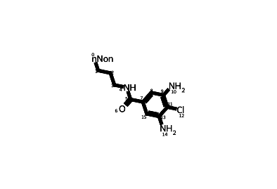 CCCCCCCCCCCCNC(=O)c1cc(N)c(Cl)c(N)c1